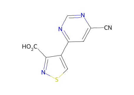 N#Cc1cc(-c2csnc2C(=O)O)ncn1